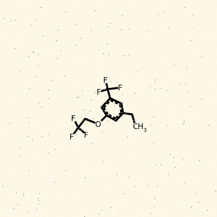 CCc1cc(OCC(F)(F)F)cc(C(F)(F)F)c1